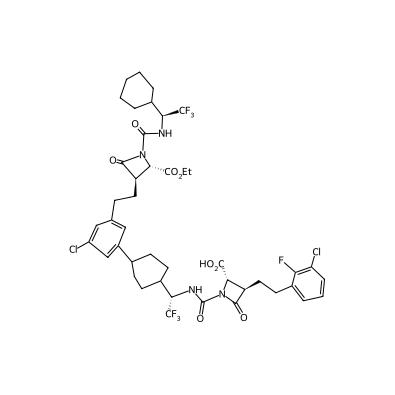 CCOC(=O)[C@@H]1[C@@H](CCc2cc(Cl)cc(C3CCC([C@H](NC(=O)N4C(=O)[C@H](CCc5cccc(Cl)c5F)[C@H]4C(=O)O)C(F)(F)F)CC3)c2)C(=O)N1C(=O)N[C@@H](C1CCCCC1)C(F)(F)F